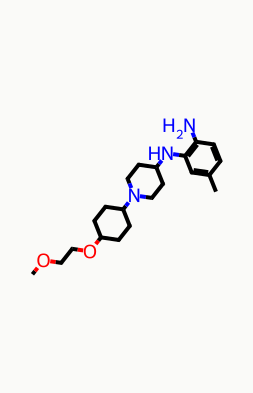 COCCOC1CCC(N2CCC(Nc3cc(C)ccc3N)CC2)CC1